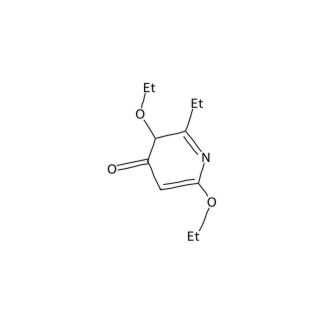 CCOC1=CC(=O)C(OCC)C(CC)=N1